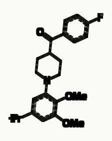 COc1cc([C](C)C)cc(N2CCC(C(=O)c3ccc(F)cc3)CC2)c1OC